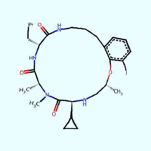 CC(C)C[C@H]1NC(=O)[C@@H](C)N(C)C(=O)[C@H](C2CC2)NC[C@@H](C)Oc2c(I)cccc2CCCNC1=O